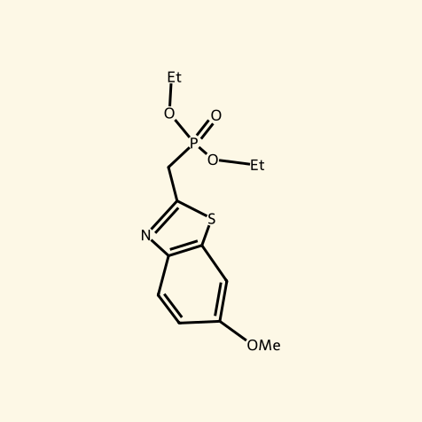 CCOP(=O)(Cc1nc2ccc(OC)cc2s1)OCC